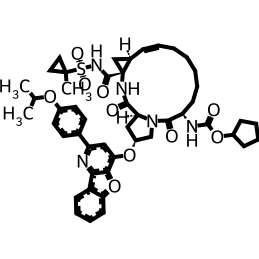 CC(C)Oc1ccc(-c2cc(O[C@@H]3C[C@H]4C(=O)N[C@]5(C(=O)NS(=O)(=O)C6(C)CC6)C[C@H]5/C=C\CCCCC[C@H](NC(=O)OC5CCCC5)C(=O)N4C3)c3oc4ccccc4c3n2)cc1